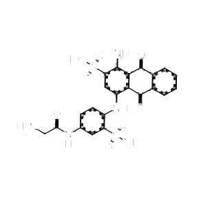 NCC(=O)Nc1ccc(Nc2cc(S(=O)(=O)O)c(N)c3c2C(=O)c2ccccc2C3=O)c(S(=O)(=O)O)c1